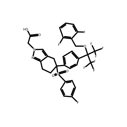 O=C(O)Cn1cc2c(n1)CCC(c1ccc(C(OCc3c(F)cccc3F)(C(F)(F)F)C(F)(F)F)cc1)(S(=O)(=O)c1ccc(F)cc1)C2